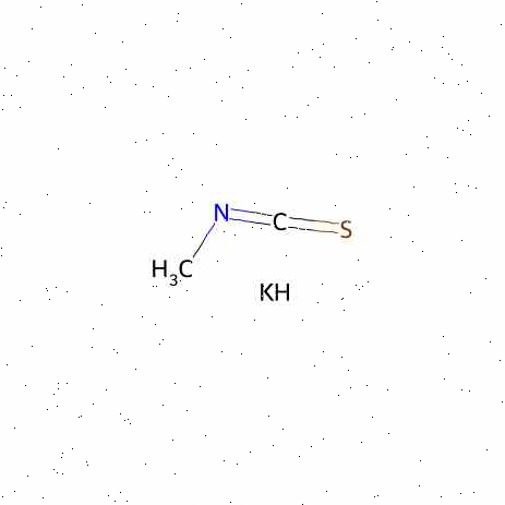 CN=C=S.[KH]